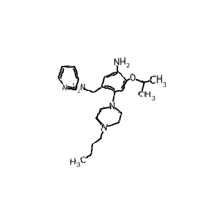 CCCCN1CCN(c2cc(OC(C)C)c(N)cc2CN)CC1.c1ccncc1